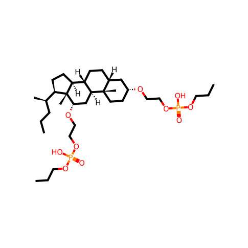 CCCOP(=O)(O)OCCO[C@@H]1CC[C@@]2(C)[C@H](CC[C@@H]3[C@@H]2C[C@H](OCCOP(=O)(O)OCCC)[C@]2(C)[C@@H]([C@H](C)CCC)CC[C@@H]32)C1